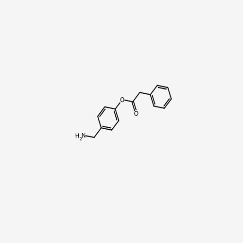 NCc1ccc(OC(=O)Cc2ccccc2)cc1